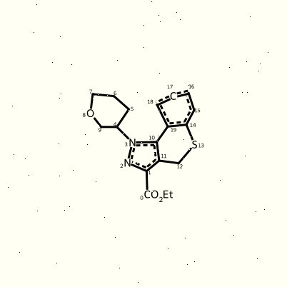 CCOC(=O)c1nn(C2CCCOC2)c2c1CSc1ccccc1-2